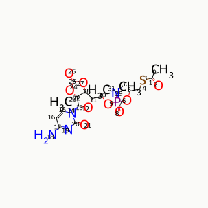 CC(=O)SCCOP(=O)(OC[C@H]1O[C@@H](n2ccc(N)nc2=O)[C@@]2(C)OC(=O)OC12)N(C)C